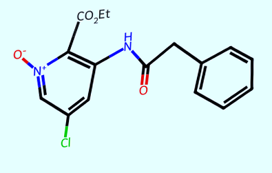 CCOC(=O)c1c(NC(=O)Cc2ccccc2)cc(Cl)c[n+]1[O-]